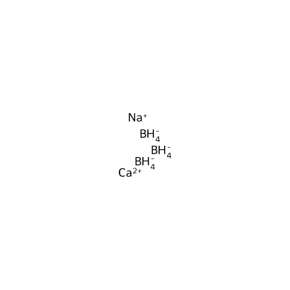 [BH4-].[BH4-].[BH4-].[Ca+2].[Na+]